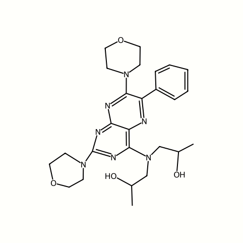 CC(O)CN(CC(C)O)c1nc(N2CCOCC2)nc2nc(N3CCOCC3)c(-c3ccccc3)nc12